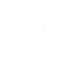 COc1cccc2c(=O)n(NCc3ccc(Cl)cc3)c(-c3ccc(F)cc3)nc12